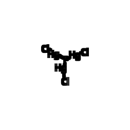 [Cl][Hg][P]([Hg][Cl])[Hg][Cl]